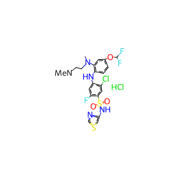 CNCCN(C)c1cc(OC(F)F)ccc1Nc1cc(F)c(S(=O)(=O)Nc2cscn2)cc1Cl.Cl